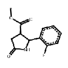 COC(=O)C1CC(=O)NC1c1ccccc1F